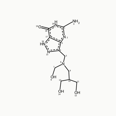 Nc1nc2c(CN(CO)CC(CO)CO)n[nH]c2c(=O)[nH]1